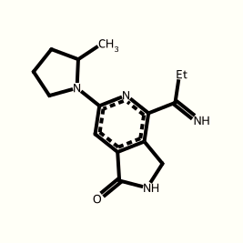 CCC(=N)c1nc(N2CCCC2C)cc2c1CNC2=O